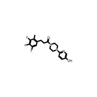 Cc1c(CCC(=O)N2CCN(c3ccc(O)cn3)CC2)cc(F)c(F)c1F